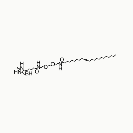 C=C1NC2CBC(CCCC(=O)NCCOCCOCCNC(=O)CCCCCCCCC#CCCCCCCCCCCCC)C2N1